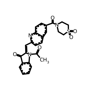 CC(=O)N1/C(=C\c2ccc3cc(C(=O)N4CCS(=O)(=O)CC4)ccc3n2)C(=O)c2ccccc21